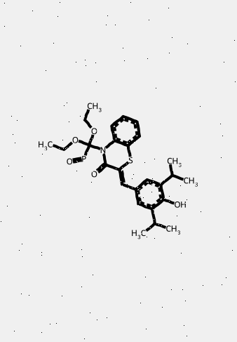 CCOC(OCC)(P=O)N1C(=O)C(=Cc2cc(C(C)C)c(O)c(C(C)C)c2)Sc2ccccc21